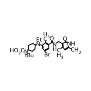 CCN(c1cc(Br)cc(C(=O)NCc2c(C)cc(C)[nH]c2=O)c1C)C1CCC(N(C(=O)O)C(C)(C)C)CC1